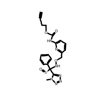 C#CCCOC(=O)Nc1cccc(CONC([S+]=O)(c2ccccc2)c2nnnn2C)n1